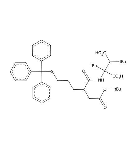 CC(C)(C)OC(=O)CC(CCCSC(c1ccccc1)(c1ccccc1)c1ccccc1)C(=O)NC(C(=O)O)(C(C(=O)O)C(C)(C)C)C(C)(C)C